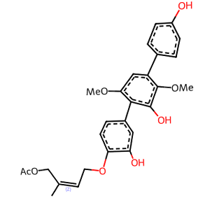 COc1cc(-c2ccc(O)cc2)c(OC)c(O)c1-c1ccc(OC/C=C(/C)COC(C)=O)c(O)c1